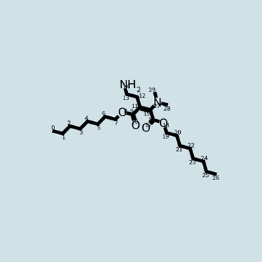 CCCCCCCCOC(=O)/C(CCN)=C(\C(=O)OCCCCCCCC)N(C)C